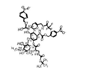 CN[C@@H]1[C@@H](O)[C@@H](O[C@H]2[C@H](NC(=O)[C@@H](O)CNC(=O)OC(C)(C)C)C[C@H](NC(=O)OCc3ccc([N+](=O)[O-])cc3)C([C@H]3OC(CNC(=O)C(F)(F)F)=CC[C@H]3NC(O)OCc3ccc([N+](=O)[O-])cc3)[C@@H]2O)OC[C@]1(C)O